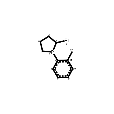 CCC1CCCP1c1ccccc1C